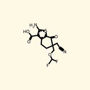 N#CCC1(COC(F)F)CCc2c(sc(N)c2C(=O)O)C1=O